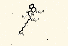 C[C@H](N[C@@H](CCCCCCCN)C(=O)O)C(=O)C1N[C@H](C(=O)O)Cc2ccccc21